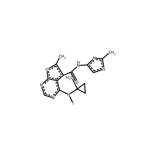 Cc1nc(NC(=O)c2c(C)oc3ncnc(N(I)C4(C)CC4)c23)cs1